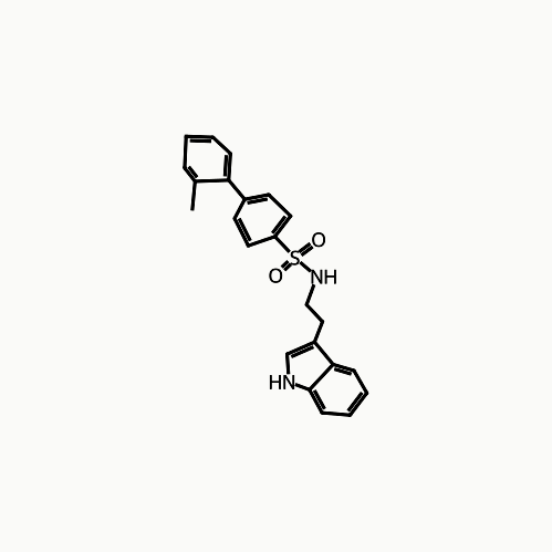 Cc1ccccc1-c1ccc(S(=O)(=O)NCCc2c[nH]c3ccccc23)cc1